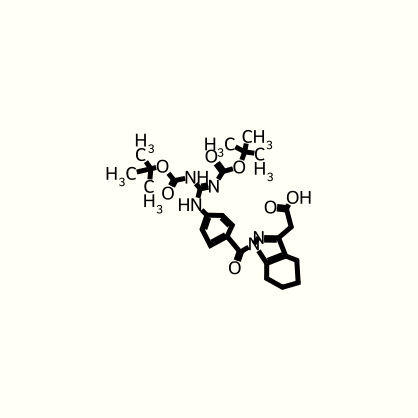 CC(C)(C)OC(=O)N=C(NC(=O)OC(C)(C)C)Nc1ccc(C(=O)n2nc(CC(=O)O)c3c2CCCC3)cc1